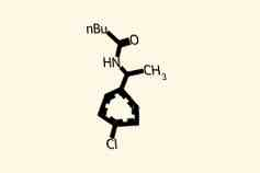 CCCCC(=O)NC(C)c1ccc(Cl)cc1